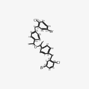 CC(OC(C)c1ccc(Cc2cc(Br)ccc2Cl)cc1)c1ccc(Cc2cc(Br)ccc2Cl)cc1